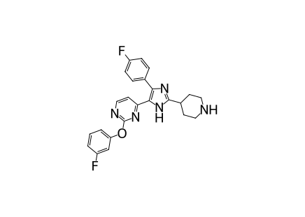 Fc1ccc(-c2nc(C3CCNCC3)[nH]c2-c2ccnc(Oc3cccc(F)c3)n2)cc1